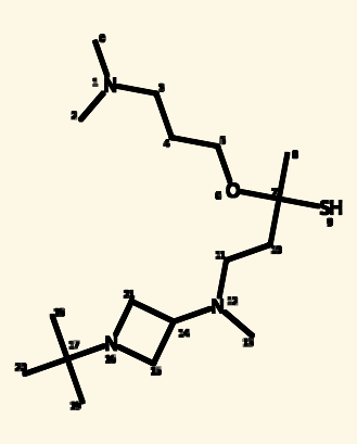 CN(C)CCCOC(C)(S)CCN(C)C1CN(C(C)(C)C)C1